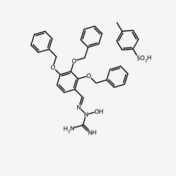 Cc1ccc(S(=O)(=O)O)cc1.N=C(N)N(O)N=Cc1ccc(OCc2ccccc2)c(OCc2ccccc2)c1OCc1ccccc1